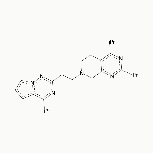 CC(C)c1nc2c(c(C(C)C)n1)CCN(CCc1nc(C(C)C)c3cccn3n1)C2